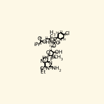 CCOc1nc(N)nc2c1ncn2[C@@H]1O[C@H](COP(=O)(N[C@@H](C)COC(=O)C(C)C)Oc2ccc(Cl)cc2)[C@@H](O)[C@@]1(C)F